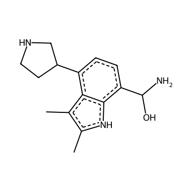 Cc1[nH]c2c(C(N)O)ccc(C3CCNC3)c2c1C